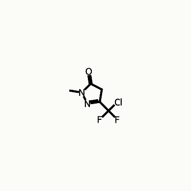 CN1N=C(C(F)(F)Cl)CC1=O